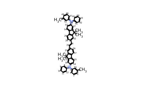 Cc1cccc(N(c2ccccc2)c2ccc3c(c2)C(C)(C)c2cc(/C=C/c4ccc5c(c4)C(C)(C)c4cc(N(c6ccccc6)c6cccc(C)c6)ccc4-5)ccc2-3)c1